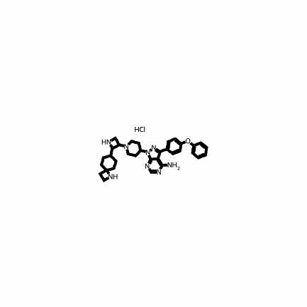 Cl.Nc1ncnc2c1c(-c1ccc(Oc3ccccc3)cc1)nn2C1CCN(C2CNC2C2CCC3(CCN3)CC2)CC1